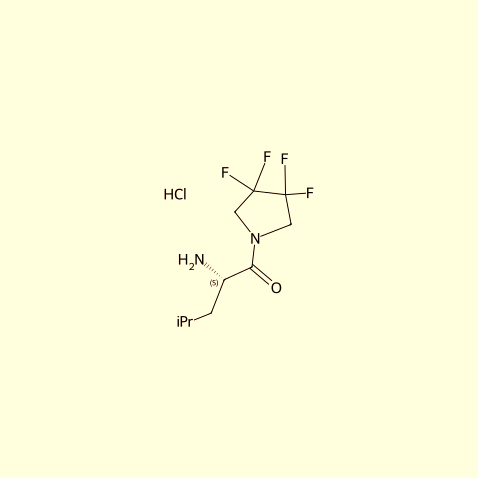 CC(C)C[C@H](N)C(=O)N1CC(F)(F)C(F)(F)C1.Cl